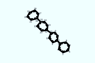 [c]1cc(-c2ccccc2)ccc1-c1ccc(-c2ccccc2)cc1